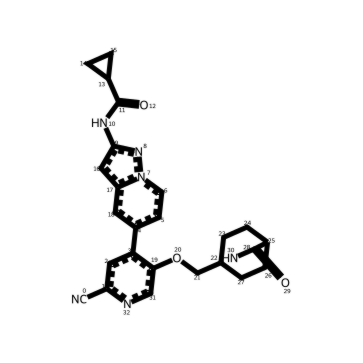 N#Cc1cc(-c2ccn3nc(NC(=O)C4CC4)cc3c2)c(OCC23CCC(CC2)C(=O)N3)cn1